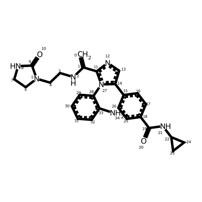 C=C(NCCN1CCNC1=O)c1ncc(-c2ccc(C(=O)NC3CC3)cc2)n1-c1ccccc1N